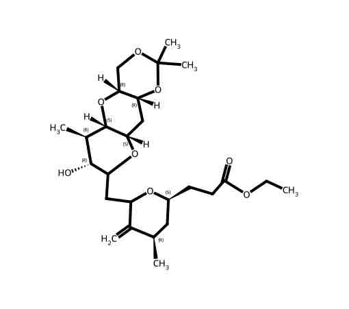 C=C1C(CC2O[C@H]3C[C@H]4OC(C)(C)OC[C@H]4O[C@H]3[C@H](C)[C@H]2O)O[C@@H](CCC(=O)OCC)C[C@H]1C